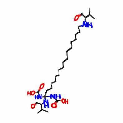 CC(C)C(C=O)NCCCCCCCCCCCCCCCCCC(NC(=O)O)(NC(=O)O)N[C@H](C=O)C(C)C